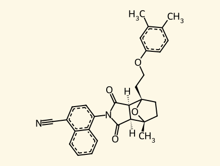 Cc1ccc(OCC[C@@]23CC[C@@](C)(O2)[C@H]2C(=O)N(c4ccc(C#N)c5ccccc45)C(=O)[C@H]23)cc1C